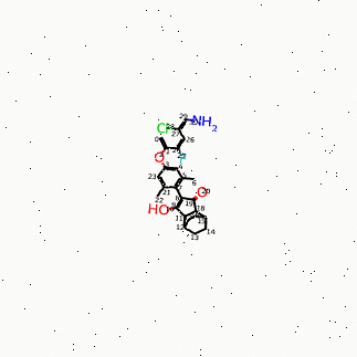 C=C(Oc1cc(C)c(C2=C(O)C3C4CCC(CC4)C3C2=O)c(C)c1)/C(F)=C\C(Cl)=C/N